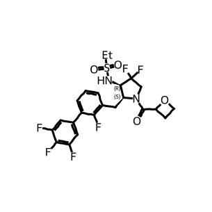 CCS(=O)(=O)N[C@@H]1[C@H](Cc2cccc(-c3cc(F)c(F)c(F)c3)c2F)N(C(=O)C2CCO2)CC1(F)F